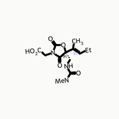 CC/C=C(\C)[C@]1(CNC(=O)NC)OC(=O)N(CC(=O)O)C1=O